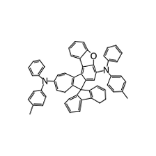 Cc1ccc(N(C2=CCC3=C(C=C2)c2c(cc(N(c4ccccc4)c4ccc(C)cc4)c4oc5ccccc5c24)C32C3=C(CCC=C3)c3ccccc32)c2ccccc2)cc1